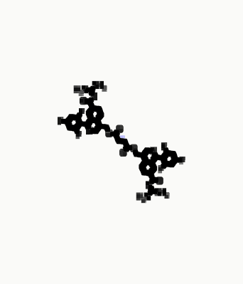 NC(N)=NC(=O)c1ccc2c(COC(=O)/C=C/C(=O)OCc3cnc(-c4c(F)cc(F)cc4F)c4cc(C(=O)N=C(N)N)ccc34)cnc(-c3c(F)cc(F)cc3F)c2c1